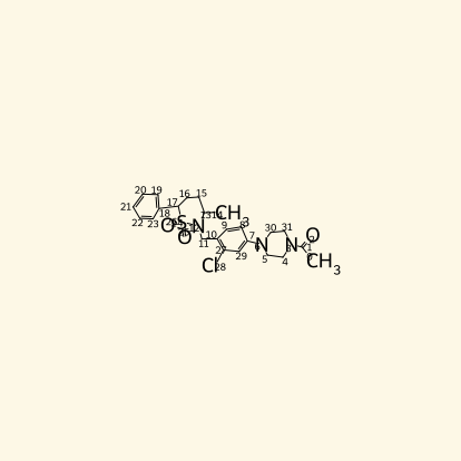 CC(=O)N1CCN(c2ccc(CN3C(C)CCC(c4ccccc4)S3(=O)=O)c(Cl)c2)CC1